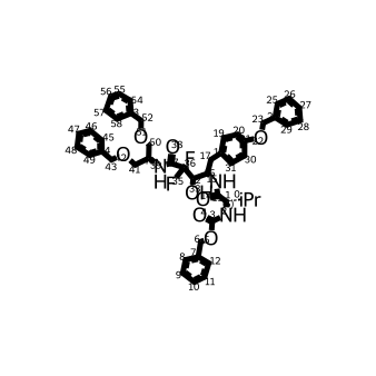 CC(C)[C@H](NC(=O)OCc1ccccc1)C(=O)NC(Cc1ccc(OCc2ccccc2)cc1)C(O)C(F)(F)C(=O)NC(COCc1ccccc1)COCc1ccccc1